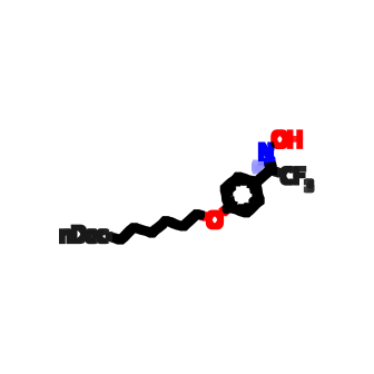 CCCCCCCCCCCCCCCCOc1ccc(/C(=N/O)C(F)(F)F)cc1